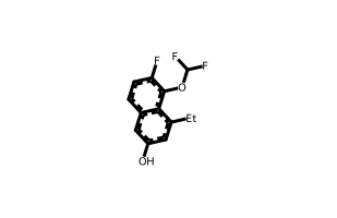 CCc1cc(O)cc2ccc(F)c(OC(F)F)c12